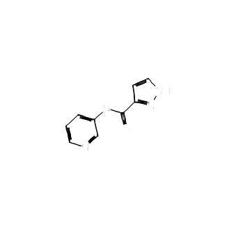 O=C(Nc1cc[c]nc1)c1cc[nH]n1